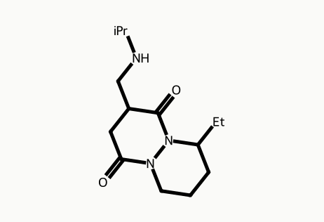 CCC1CCCN2C(=O)CC(CNC(C)C)C(=O)N12